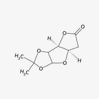 CC1(C)OC2O[C@@H]3CC(=O)O[C@@H]3C2O1